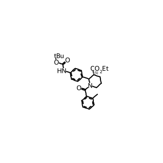 CCOC(=O)[C@H]1CCCN(C(=O)c2ccccc2C)C1c1ccc(NC(=O)OC(C)(C)C)cc1